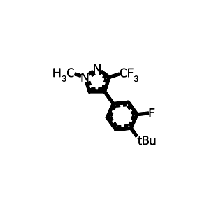 Cn1cc(-c2ccc(C(C)(C)C)c(F)c2)c(C(F)(F)F)n1